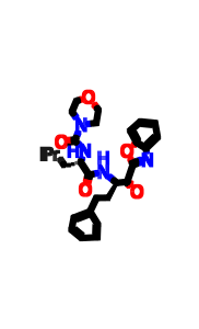 CC(C)C[C@H](NC(=O)N1CCOCC1)C(=O)N[C@H](CCc1ccccc1)C(=O)c1nc2ccccc2o1